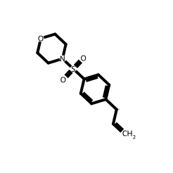 C=C[CH]c1ccc(S(=O)(=O)N2CCOCC2)cc1